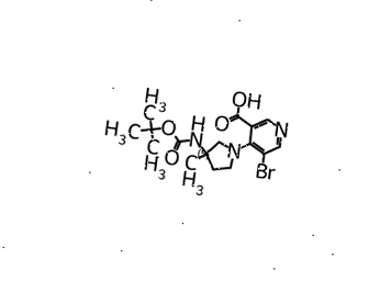 CC(C)(C)OC(=O)N[C@@]1(C)CCN(c2c(Br)cncc2C(=O)O)C1